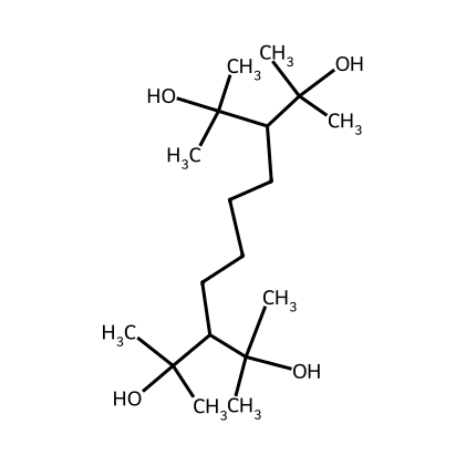 CC(C)(O)C(CCCCC(C(C)(C)O)C(C)(C)O)C(C)(C)O